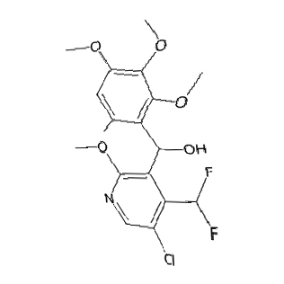 COc1cc(C)c(C(O)c2c(OC)ncc(Cl)c2C(F)F)c(OC)c1OC